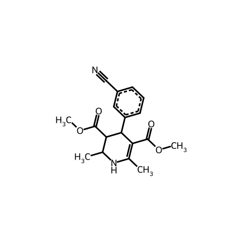 COC(=O)C1=C(C)NC(C)C(C(=O)OC)C1c1cccc(C#N)c1